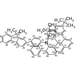 CC(C)(C)c1cc(-c2cccc3c2=C(c2ccccc2N(c2ccc(-c4ccc5c(c4)C(C)(C)c4ccccc4-5)cc2)c2ccccc2-c2ccccc2)CCC=3)cc(C(C)(C)C)c1